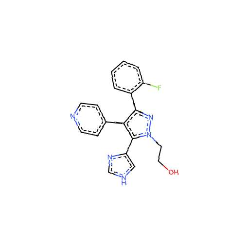 OCCn1nc(-c2ccccc2F)c(-c2ccncc2)c1-c1c[nH]cn1